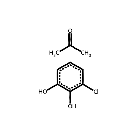 CC(C)=O.Oc1cccc(Cl)c1O